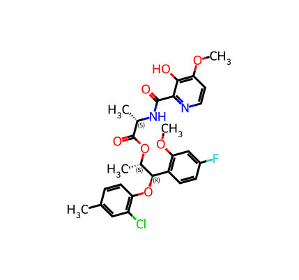 COc1cc(F)ccc1[C@@H](Oc1ccc(C)cc1Cl)[C@H](C)OC(=O)[C@H](C)NC(=O)c1nccc(OC)c1O